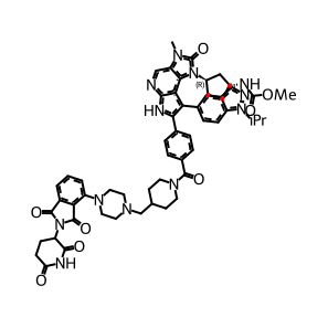 COC(=O)N[C@@H]1CC[C@@H](n2c(=O)n(C)c3cnc4[nH]c(-c5ccc(C(=O)N6CCC(CN7CCN(c8cccc9c8C(=O)N(C8CCC(=O)NC8=O)C9=O)CC7)CC6)cc5)c(-c5ccc6c(cnn6C(C)C)c5)c4c32)C1